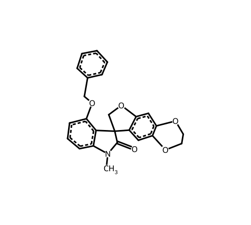 CN1C(=O)C2(COc3cc4c(cc32)OCCO4)c2c(OCc3ccccc3)cccc21